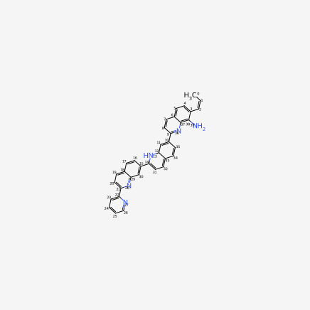 C/C=C\c1ccc2ccc(C3=CC4NC(c5ccc6ccc(-c7ccccn7)nc6c5)=CC=C4C=C3)nc2c1N